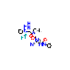 CN(CC(=O)N1CC(C(=O)Nc2ccccc2)CC1C#N)C(=O)/C(C=N)=C/Nc1ccccc1C(F)(F)F